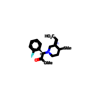 COC(=O)[C@H](c1ccccc1F)N1CCC(SC)/C(=C/C(=O)O)C1